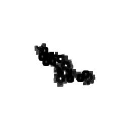 CC(C)(C)OC(=O)NC(=O)OCCCN1c2ccccc2C(=O)N(CCCOC2CCCCO2)c2ccc(Cl)cc21